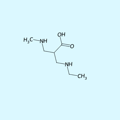 CCNCC(CNC)C(=O)O